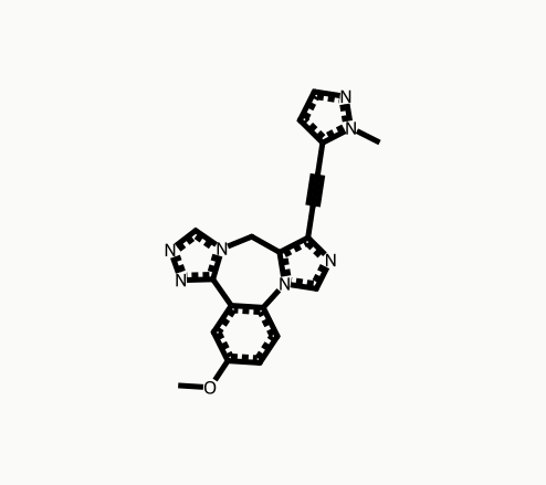 COc1ccc2c(c1)-c1nncn1Cc1c(C#Cc3ccnn3C)ncn1-2